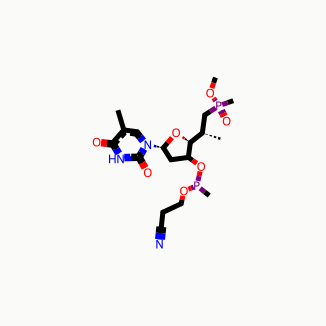 COP(C)(=O)C[C@H](C)[C@H]1O[C@@H](n2cc(C)c(=O)[nH]c2=O)CC1OP(C)OCCC#N